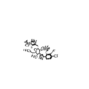 CO[C@@H]1[C@@H](n2cc(-c3ccc(Cl)c(F)c3F)nn2)[C@@H](O)[C@@H](CO)O[C@@H]1Cc1cn(C2(C(F)(F)F)CC2)nn1